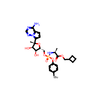 C[C@H](NP(=O)(OC[C@H]1O[C@@](C)(c2ccc3c(N)ncnn23)[C@H](O)[C@@H]1O)Oc1ccc(C(C)(C)C)cc1)C(=O)OCC1CCC1